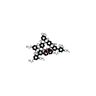 Cc1cc(C)c(-c2cc3c4c(c2)Oc2c(sc5ccccc25)B4c2cc4c(cc2N3)Oc2cc(C)cc3c2B4c2cc4c(cc2O3)N(c2c(C)cc(C)cc2C)c2cc(-c3c(C)cc(C)cc3C)cc3c2B4c2sc4ccccc4c2O3)c(C)c1